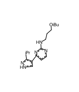 CC(C)COCCCNc1nccc(-c2c[nH]nc2C(C)C)n1